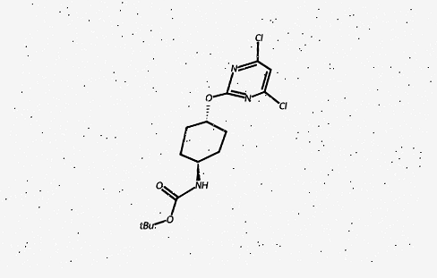 CC(C)(C)OC(=O)N[C@H]1CC[C@H](Oc2nc(Cl)cc(Cl)n2)CC1